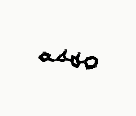 O=C1O[C@@H](Cn2ccnn2)CN1c1ccc(N2C=CCSC=C2)c(F)c1